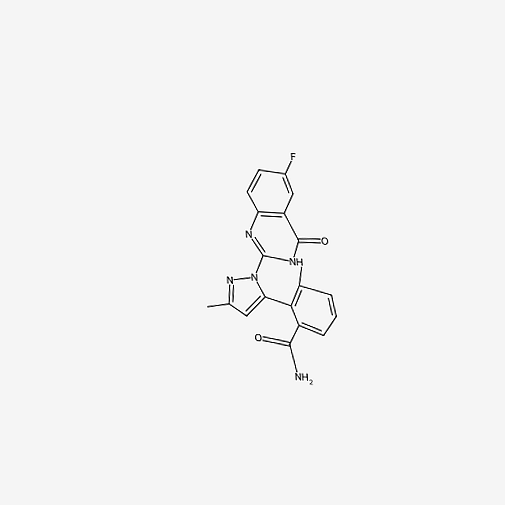 Cc1cc(-c2c(C)cccc2C(N)=O)n(-c2nc3ccc(F)cc3c(=O)[nH]2)n1